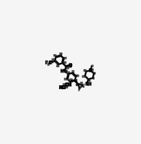 CN1CCC(N[C@@H]2C[C@H]2c2ccc(NC(=O)c3cccc(C(F)(F)F)c3)cc2)CC1.Cl.Cl